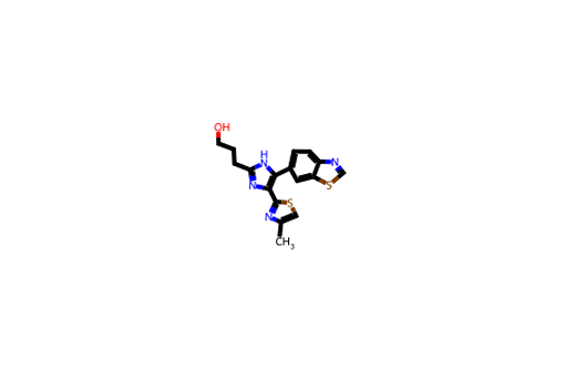 Cc1csc(-c2nc(CCCO)[nH]c2-c2ccc3ncsc3c2)n1